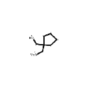 COCC1(CO)CCCC1